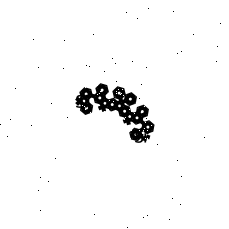 CC1(C)c2cc3c(cc2-c2c1cc(-c1cccc4c1-c1ccccc1[Si]4(C)C)c1ccccc21)C(c1ccccc1)(c1ccccc1)c1cc2c(cc1-3)C(C)(C)c1cc(-c3cccc4c3-c3ccccc3[Si]4(C)C)c3ccccc3c1-2